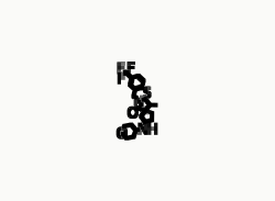 CC1C2Sc3ccc(C(F)(F)F)cc3CN2C(=O)[C@]12CC[C@@H](NC1CCOCC1)C2